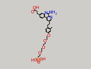 Cc1cc(OCCOCCOCCOCCP(=O)(O)O)ccc1CCc1cnc2c(N)nc3cc(CCC(=O)O)ccc3c2c1